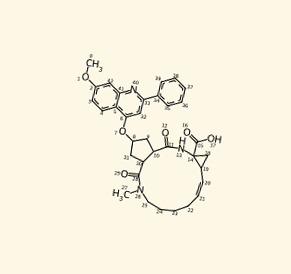 COc1ccc2c(OC3CC4C(=O)NC5(C(=O)O)CC5C=CCCCCN(C)C(=O)C4C3)cc(-c3ccccc3)nc2c1